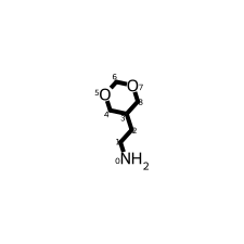 NCCC1COCOC1